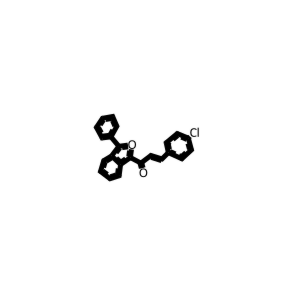 O=C(C=Cc1ccc(Cl)cc1)c1oc(-c2ccccc2)c2ccccc12